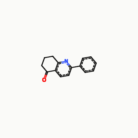 O=C1CCCc2nc(-c3ccccc3)ccc21